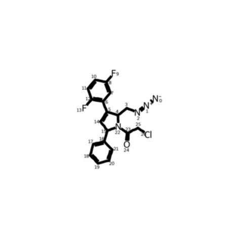 [N-]=[N+]=NCC1C(c2cc(F)ccc2F)=CC(c2ccccc2)N1C(=O)CCl